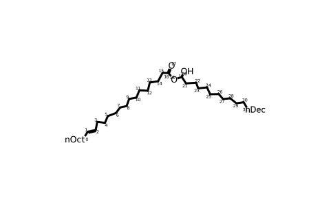 CCCCCCCCC=CCCCCCCCCCCCCCC(=O)OC(O)CCCCCCCCCCCCCCCCCCCC